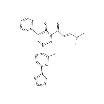 CN(C)C=CC(=O)c1nn(-c2ccc(-n3cccn3)cc2F)cc(-c2ccccc2)c1=O